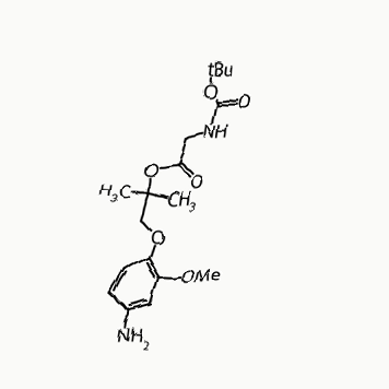 COc1cc(N)ccc1OCC(C)(C)OC(=O)CNC(=O)OC(C)(C)C